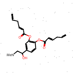 C=CC/C=C/C(=O)Oc1ccc(C(O)CNC)cc1OC(=O)/C=C/CC=C